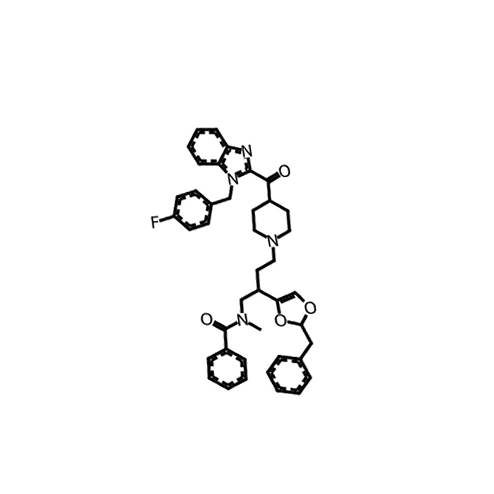 CN(CC(CCN1CCC(C(=O)c2nc3ccccc3n2Cc2ccc(F)cc2)CC1)C1=COC(Cc2ccccc2)O1)C(=O)c1ccccc1